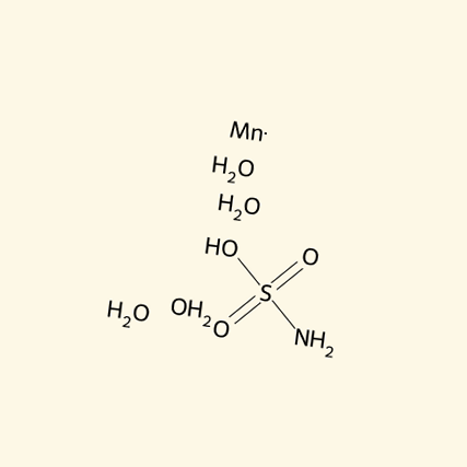 NS(=O)(=O)O.O.O.O.O.[Mn]